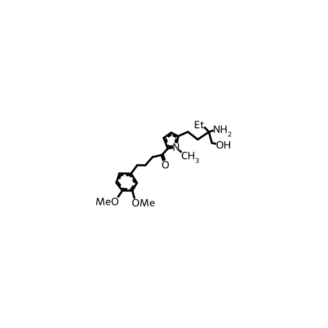 CCC(N)(CO)CCc1ccc(C(=O)CCCc2ccc(OC)c(OC)c2)n1C